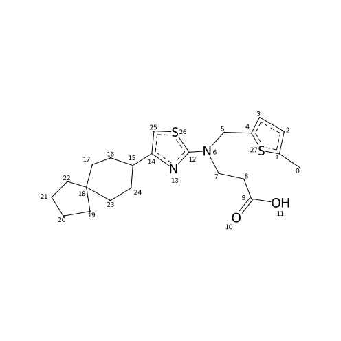 Cc1ccc(CN(CCC(=O)O)c2nc(C3CCC4(CCCC4)CC3)cs2)s1